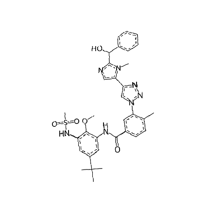 COc1c(NC(=O)c2ccc(C)c(-n3cc(-c4cnc(C(O)c5ccccc5)n4C)nn3)c2)cc(C(C)(C)C)cc1NS(C)(=O)=O